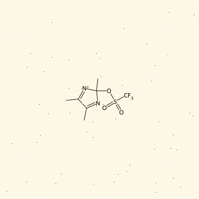 CC1=NC(C)(OS(=O)(=O)C(F)(F)F)[N+]=C1C